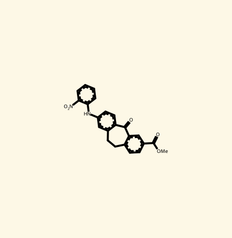 COC(=O)c1ccc2c(c1)C(=O)c1ccc(Nc3ccccc3[N+](=O)[O-])cc1CC2